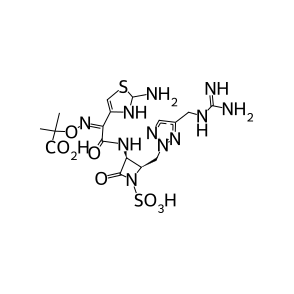 CC(C)(O/N=C(\C(=O)N[C@@H]1C(=O)N(S(=O)(=O)O)[C@@H]1Cn1ncc(CNC(=N)N)n1)C1=CSC(N)N1)C(=O)O